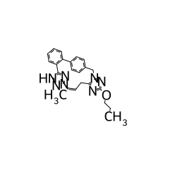 CC=CCc1nc(OCCC)nn1Cc1ccc(-c2ccccc2-c2nnn[nH]2)cc1